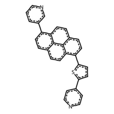 c1cncc(-c2ccc3ccc4c(-c5ccc(-c6ccncc6)s5)ccc5ccc2c3c54)c1